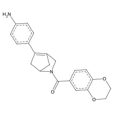 Nc1ccc(C2=C3CC(C2)N(C(=O)c2ccc4c(c2)OCCO4)C3)cc1